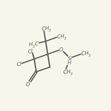 C[SiH](C)OC1(C(C)(C)C)CC(=O)C1(Cl)Cl